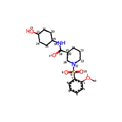 COc1ccccc1S(=O)(=O)N1CCC[C@H](C(=O)NC2CCC(O)CC2)C1